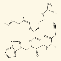 CC=CCC(C)=CN[C@@H](CCCNC(N)N)C(=O)N[C@@H](Cc1c[nH]c2ccccc12)C(=O)CN[C@@H](C)C(=O)CC#N